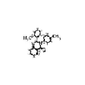 Cc1ccc(-n2c(-c3ccccc3C)nc3ccccc3c2=O)cc1